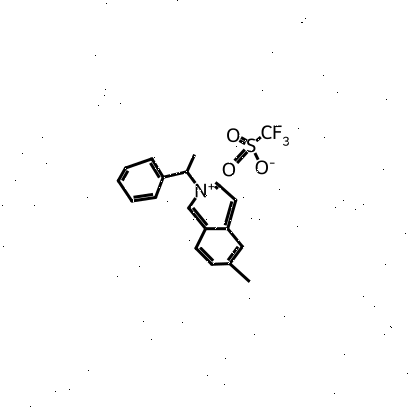 Cc1ccc2c[n+](C(C)c3ccccc3)ccc2c1.O=S(=O)([O-])C(F)(F)F